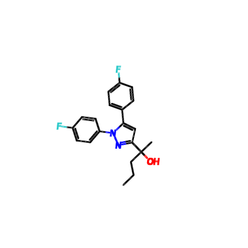 CCCC(C)(O)c1cc(-c2ccc(F)cc2)n(-c2ccc(F)cc2)n1